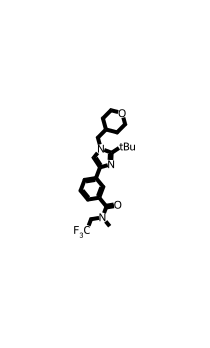 CN(CC(F)(F)F)C(=O)c1cccc(-c2cn(CC3CCOCC3)c(C(C)(C)C)n2)c1